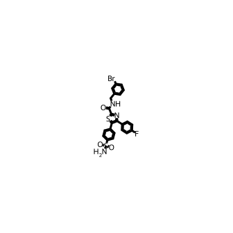 NS(=O)(=O)c1ccc(-c2sc(C(=O)NCc3cccc(Br)c3)nc2-c2ccc(F)cc2)cc1